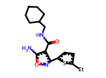 CCc1ccc(-c2noc(N)c2C(=O)NCC2CCCCC2)s1